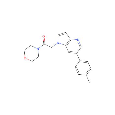 Cc1ccc(-c2cnc3ccn(CC(=O)N4CCOCC4)c3c2)cc1